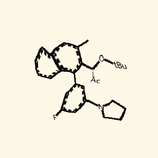 CC(=O)[C@@H](OC(C)(C)C)c1c(C)cc2ccccc2c1-c1cc(F)cc(N2CCCC2)c1